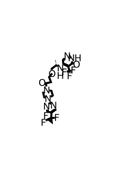 C[C@@H](COCCC(=O)N1CCN(c2ncc(C3(F)CC3(F)F)cn2)CC1)Nc1cn[nH]c(=O)c1C(F)(F)F